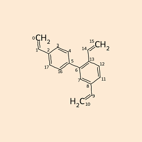 C=Cc1ccc(-c2cc(C=C)ccc2C=C)cc1